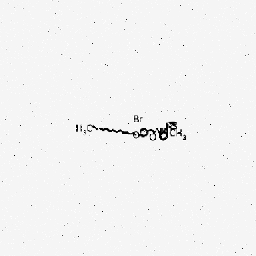 CCCCCCCCCCCCCCOc1ccc(CC(=O)Nc2ccccc2C[n+]2ccsc2C)cc1.[Br-]